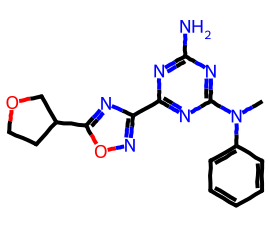 CN(c1ccccc1)c1nc(N)nc(-c2noc(C3CCOC3)n2)n1